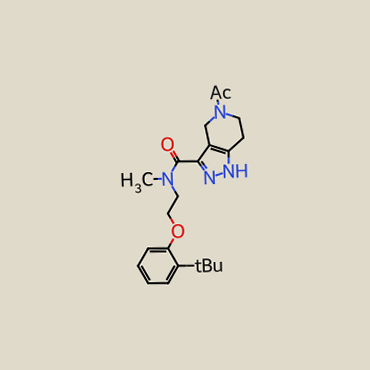 CC(=O)N1CCc2[nH]nc(C(=O)N(C)CCOc3ccccc3C(C)(C)C)c2C1